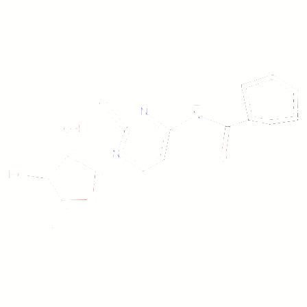 CC[C@H]1O[C@@H](n2ccc(NC(=O)c3ccccc3)nc2=O)[C@@H](O)C1O